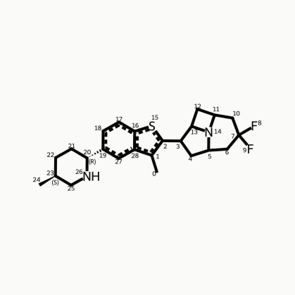 Cc1c(C2CC3CC(F)(F)CC4CC2N34)sc2ccc([C@H]3CC[C@H](C)CN3)cc12